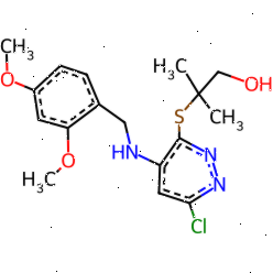 COc1ccc(CNc2cc(Cl)nnc2SC(C)(C)CO)c(OC)c1